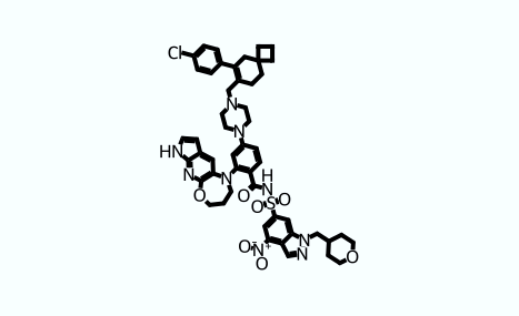 O=C(NS(=O)(=O)c1cc([N+](=O)[O-])c2cnn(CC3CCOCC3)c2c1)c1ccc(N2CCN(CC3=C(c4ccc(Cl)cc4)CC4(CCC4)CC3)CC2)cc1N1CCCOc2nc3[nH]ccc3cc21